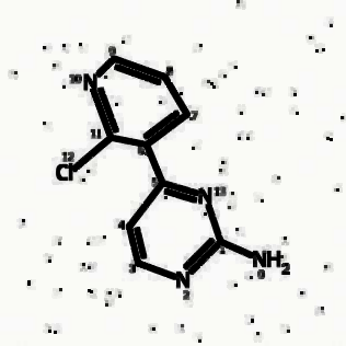 Nc1nccc(-c2cccnc2Cl)n1